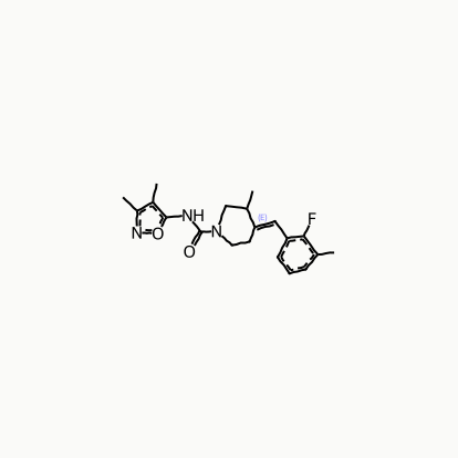 Cc1cccc(/C=C2\CCN(C(=O)Nc3onc(C)c3C)CC2C)c1F